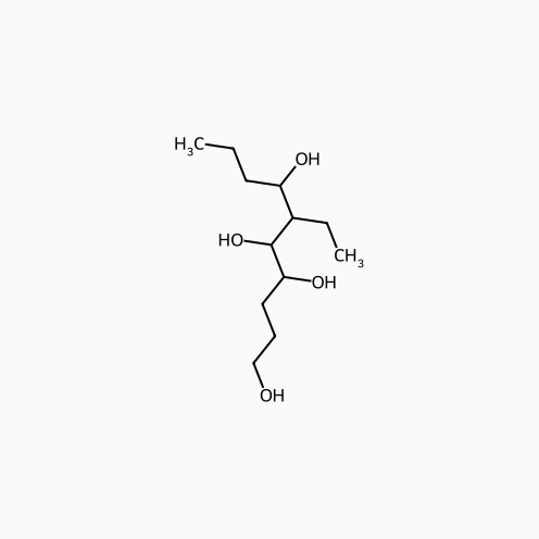 CCCC(O)C(CC)C(O)C(O)CCCO